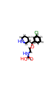 O=C(O)NCCOC(c1cccc(Cl)c1)[C@@H]1CCCNC1